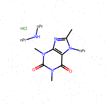 CCCNCCC.CCCn1c(C)nc2c1c(=O)n(C)c(=O)n2C.Cl